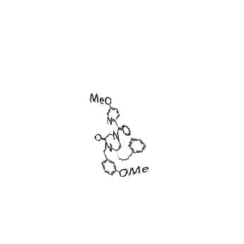 COc1ccc(C(=O)N2CC(=O)N(Cc3cccc(OC)c3)[C@@H](CCc3ccccc3)C2)nc1